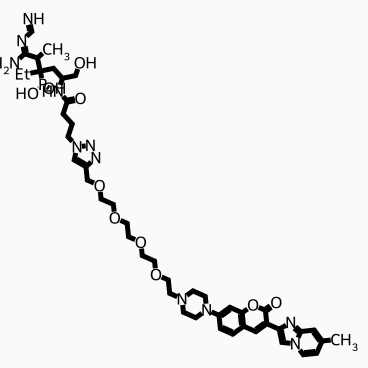 CCC(CC(CO)NC(=O)CCCn1cc(COCCOCCOCCOCCN2CCN(c3ccc4cc(-c5cn6ccc(C)cc6n5)c(=O)oc4c3)CC2)nn1)(C(C)/C(N)=N\C=N)P(O)O